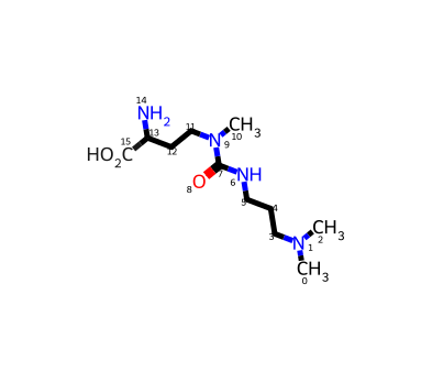 CN(C)CCCNC(=O)N(C)CCC(N)C(=O)O